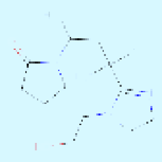 CC(CC(C)(C)C1=NCCN1CCO)N1CCCC1=O